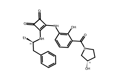 CC[C@H](Cc1ccccc1)Nc1c(Nc2cccc(C(=O)N3CC[C@H](O)C3)c2O)c(=O)c1=O